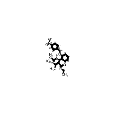 CCOC(=O)C1=C(C)N=C(C)NC1c1ccccc1OCc1ccc([N+](=O)[O-])cc1.Cl